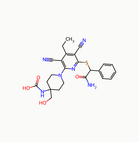 CCc1c(C#N)c(SC(C(N)=O)c2ccccc2)nc(N2CCC(CO)(NC(=O)O)CC2)c1C#N